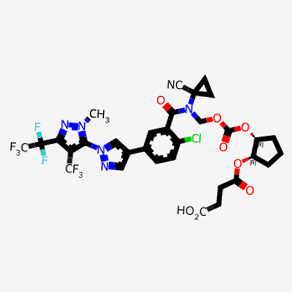 Cn1nc(C(F)(F)C(F)(F)F)c(C(F)(F)F)c1-n1cc(-c2ccc(Cl)c(C(=O)N(COC(=O)O[C@@H]3CCC[C@H]3OC(=O)CCC(=O)O)C3(C#N)CC3)c2)cn1